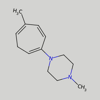 CC1=CCC=C(N2CCN(C)CC2)C=C1